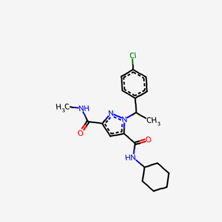 CNC(=O)c1cc(C(=O)NC2CCCCC2)n(C(C)c2ccc(Cl)cc2)n1